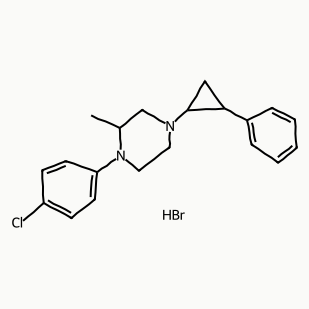 Br.CC1CN(C2CC2c2ccccc2)CCN1c1ccc(Cl)cc1